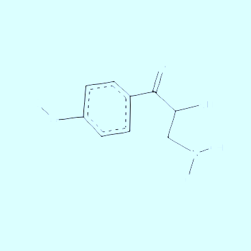 COc1ccc(C(=O)C(C)CN(C)C)cc1